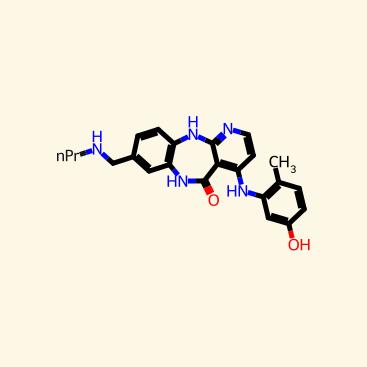 CCCNCc1ccc2c(c1)NC(=O)c1c(Nc3cc(O)ccc3C)ccnc1N2